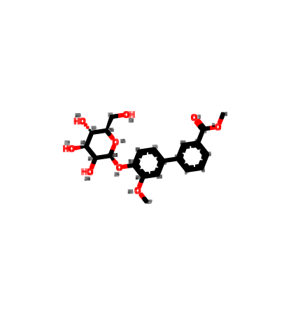 COC(=O)c1cccc(-c2ccc(O[C@@H]3O[C@H](CO)[C@@H](O)[C@H](O)C3O)c(OC)c2)c1